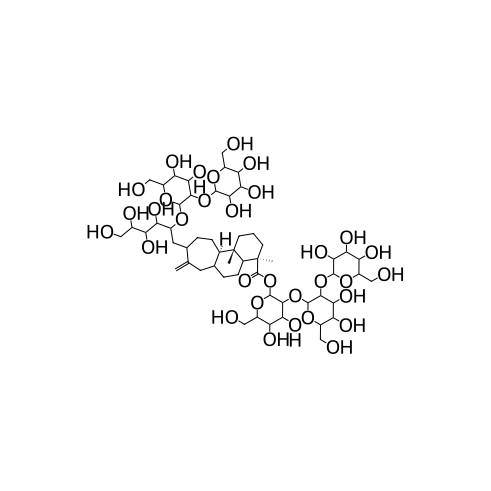 C=C1CC2CCC3[C@](C)(C(=O)OC4OC(CO)C(O)C(O)C4OC4OC(CO)C(O)C(O)C4OC4OC(CO)C(O)C(O)C4O)CCC[C@@]3(C)[C@@H]2CCC1CC(OC1OC(CO)C(O)C(O)C1OC1OC(CO)C(O)C(O)C1O)C(O)C(O)C(O)CO